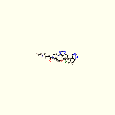 Cc1ccc2[nH]ncc2c1-c1cc2ncnc3c2c(c1Cl)OC[C@@H]1CN(C(=O)/C=C/CN(C)C)CCN31